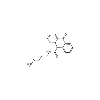 O=C(NCCCSP)n1c2ccccc2c(=O)c2ccccc21